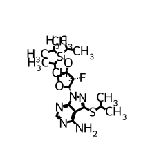 CC(C)Sc1nn([C@@H]2O[CH][C@@H](O[Si](C(C)C)(C(C)C)C(C)C)[C@@H]2F)c2ncnc(N)c12